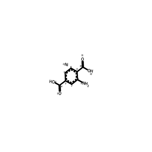 Nc1cc(C(=O)O)ccc1C(=O)O.[Ni]